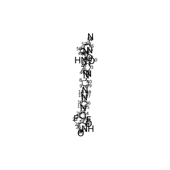 COc1cc2nn(C3CCC(N4CCN(C5CCN(c6cc(F)c([C@H]7CCC(=O)NC7=O)c(F)c6)CC5)CC4)CC3)cc2cc1NC(=O)c1ccc2cc(C#N)cnn12